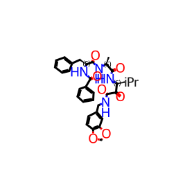 CC(C)[C@H](NC(=O)[C@H](C)NC(=O)[C@H](Cc1ccccc1)NC(=O)c1ccccc1)C(=O)C(=O)NCc1ccc2c(c1)OCO2